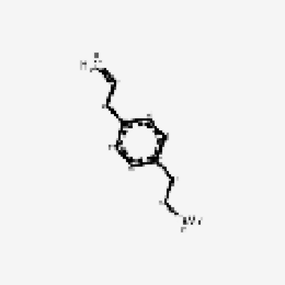 C=C[CH]c1ccc(CCOC)cc1